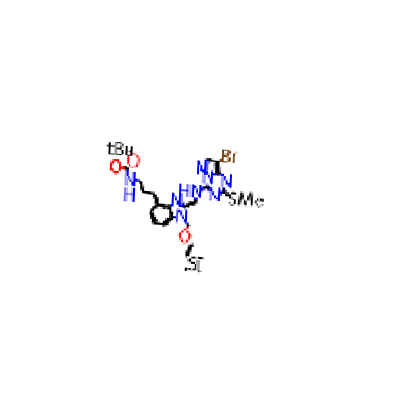 CSc1nc(NCc2nc3c(CCCNC(=O)OC(C)(C)C)cccc3n2COCC[Si](C)(C)C)n2ncc(Br)c2n1